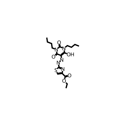 CCCCn1c(O)c(N=Nc2nc(C(=O)OCC)cs2)c(=O)n(CCCC)c1=O